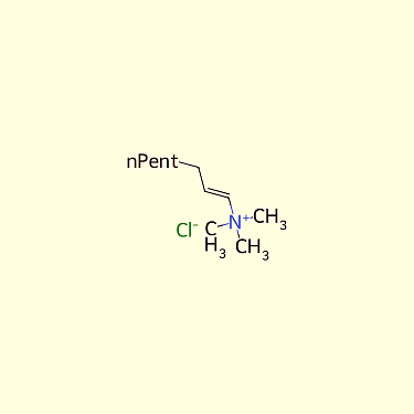 CCCCCCC=C[N+](C)(C)C.[Cl-]